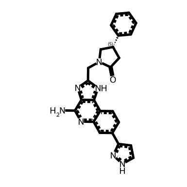 Nc1nc2cc(-c3cc[nH]n3)ccc2c2[nH]c(CN3C[C@H](c4ccccc4)CC3=O)nc12